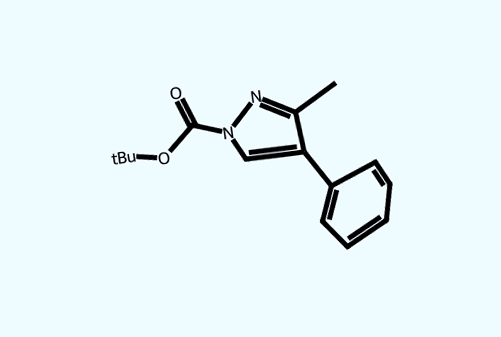 Cc1nn(C(=O)OC(C)(C)C)cc1-c1ccccc1